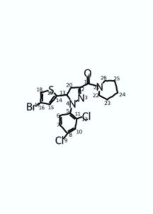 O=C(C1=NN(c2ccc(Cl)cc2Cl)C(c2cc(Br)cs2)C1)N1CCCCC1